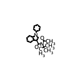 CC(=O)N(C(=O)c1cn(-c2ccccc2)c2ccccc12)C(C)(C)C